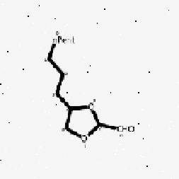 CCCCCCCCC1COC(C=O)O1